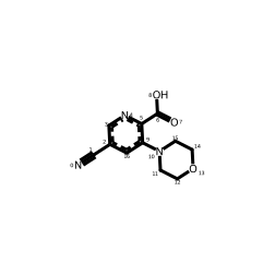 N#Cc1cnc(C(=O)O)c(N2CCOCC2)c1